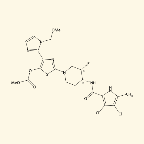 COCn1ccnc1-c1nc(N2CC[C@@H](NC(=O)c3[nH]c(C)c(Cl)c3Cl)[C@@H](F)C2)sc1OC(=O)OC